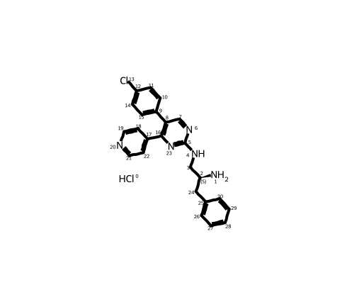 Cl.N[C@H](CNc1ncc(-c2ccc(Cl)cc2)c(-c2ccncc2)n1)Cc1ccccc1